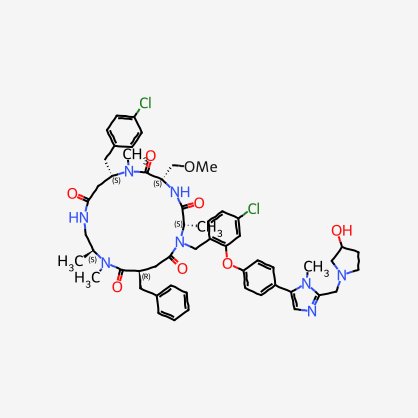 COC[C@@H]1NC(=O)[C@H](C)N(Cc2ccc(Cl)cc2Oc2ccc(-c3cnc(CN4CCC(O)C4)n3C)cc2)C(=O)C[C@@H](Cc2ccccc2)C(=O)N(C)[C@@H](C)CNC(=O)C[C@H](Cc2ccc(Cl)cc2)N(C)C1=O